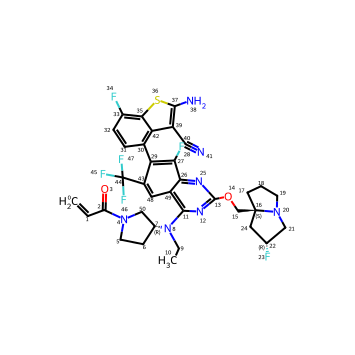 C=CC(=O)N1CC[C@@H](N(CC)c2nc(OC[C@@]34CCCN3C[C@H](F)C4)nc3c(F)c(-c4ccc(F)c5sc(N)c(C#N)c45)c(C(F)(F)F)cc23)C1